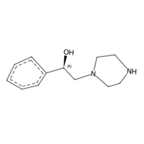 O[C@@H](CN1CCNCC1)c1ccccc1